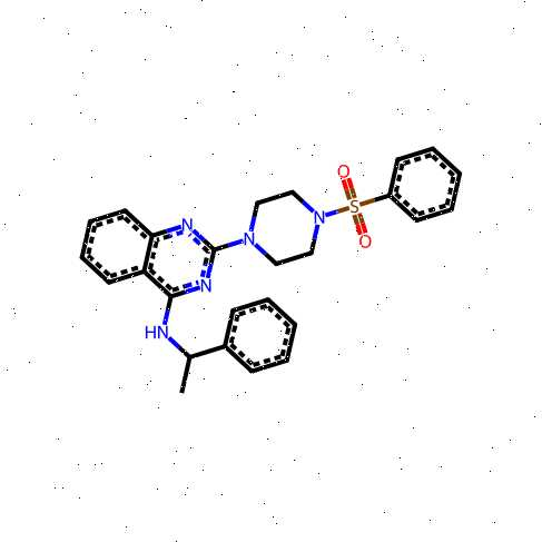 CC(Nc1nc(N2CCN(S(=O)(=O)c3ccccc3)CC2)nc2ccccc12)c1ccccc1